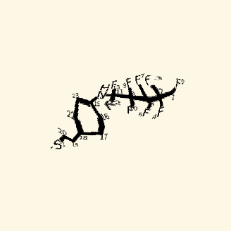 FCC(F)(F)C(F)(F)C(F)(F)C(F)(F)Nc1ccc(CC[S])cc1